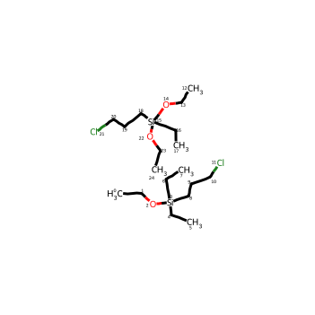 CCO[Si](CC)(CC)CCCCl.CCO[Si](CC)(CCCCl)OCC